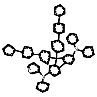 c1ccc(-c2ccc(-c3ccc(C4(c5ccc(-c6ccc(-c7ccccc7)cc6)cc5)c5cc(N(c6ccccc6)c6ccccc6)ccc5-c5ccc(N(c6ccccc6)c6ccccc6)cc54)cc3)cc2)cc1